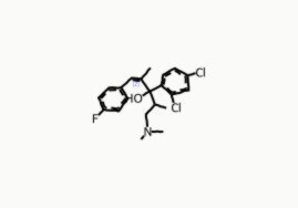 C/C(=C/c1ccc(F)cc1)C(O)(c1ccc(Cl)cc1Cl)C(C)CN(C)C